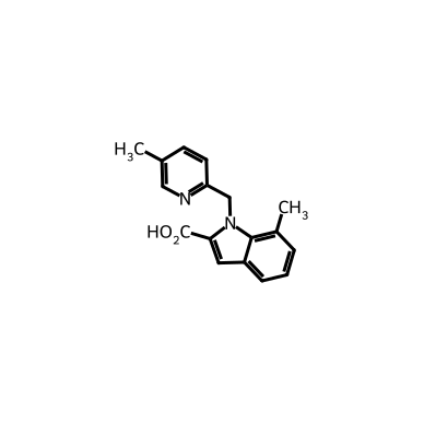 Cc1ccc(Cn2c(C(=O)O)cc3cccc(C)c32)nc1